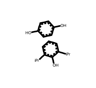 CC(C)c1cccc(C(C)C)c1O.Oc1ccc(O)cc1